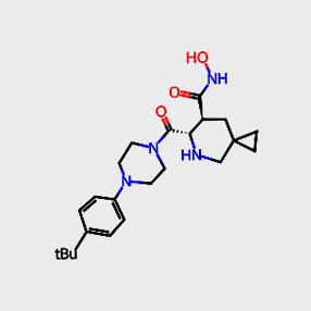 CC(C)(C)c1ccc(N2CCN(C(=O)[C@H]3NCC4(CC4)C[C@@H]3C(=O)NO)CC2)cc1